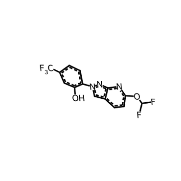 Oc1cc(C(F)(F)F)ccc1-n1cc2ccc(OC(F)F)nc2n1